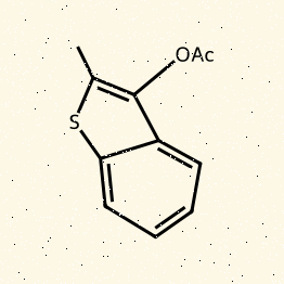 CC(=O)Oc1c(C)sc2ccccc12